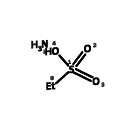 CCS(=O)(=O)O.N